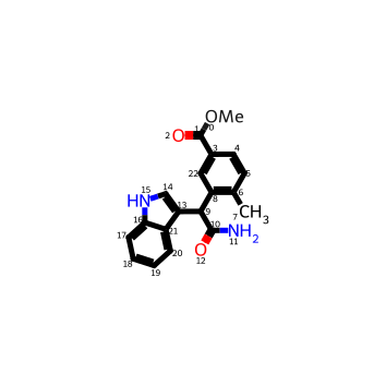 COC(=O)c1ccc(C)c(C(C(N)=O)c2c[nH]c3ccccc23)c1